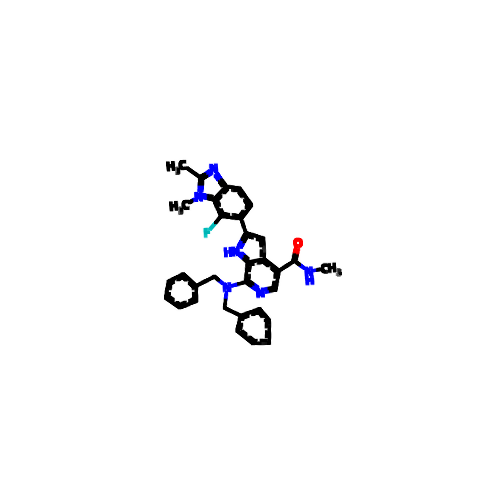 CNC(=O)c1cnc(N(Cc2ccccc2)Cc2ccccc2)c2[nH]c(-c3ccc4nc(C)n(C)c4c3F)cc12